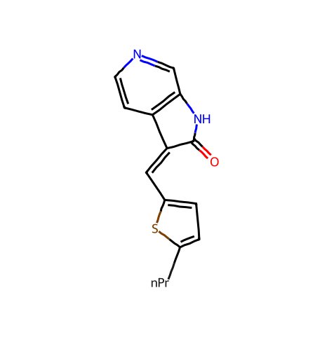 CCCc1ccc(C=C2C(=O)Nc3cnccc32)s1